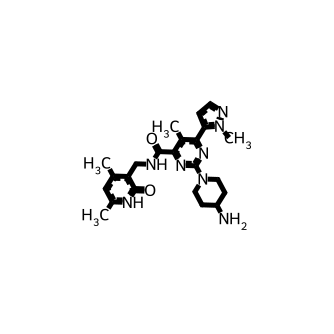 Cc1cc(C)c(CNC(=O)c2nc(N3CCC(N)CC3)nc(-c3ccnn3C)c2C)c(=O)[nH]1